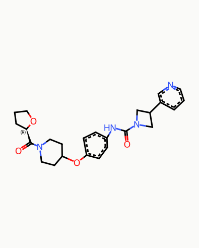 O=C(Nc1ccc(OC2CCN(C(=O)[C@H]3CCCO3)CC2)cc1)N1CC(c2cccnc2)C1